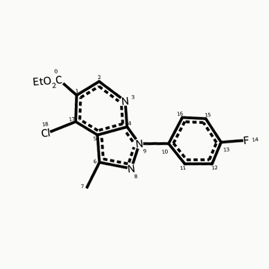 CCOC(=O)c1cnc2c(c(C)nn2-c2ccc(F)cc2)c1Cl